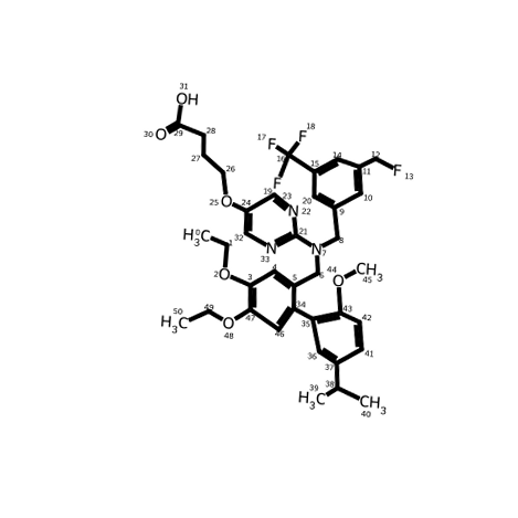 CCOc1cc(CN(Cc2cc(CF)cc(C(F)(F)F)c2)c2ncc(OCCCC(=O)O)cn2)c(-c2cc(C(C)C)ccc2OC)cc1OCC